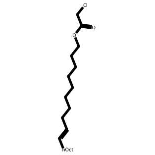 CCCCCCCCC=CCCCCCCCCOC(=O)CCl